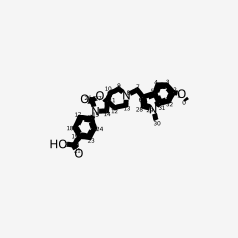 COc1ccc2c(CN3CCC4(CC3)CN(c3ccc(C(=O)O)cc3)C(=O)O4)cn(C)c2c1